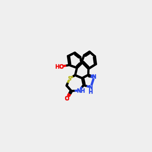 O=C1CSC(c2ccccc2O)c2c(-c3ccccc3)n[nH]c2N1